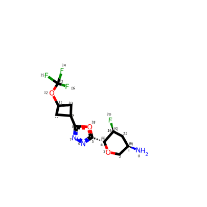 N[C@H]1CO[C@H](c2nnc(C3CC(OC(F)(F)F)C3)o2)[C@@H](F)C1